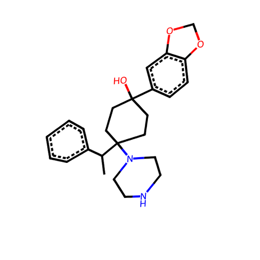 CC(c1ccccc1)C1(N2CCNCC2)CCC(O)(c2ccc3c(c2)OCO3)CC1